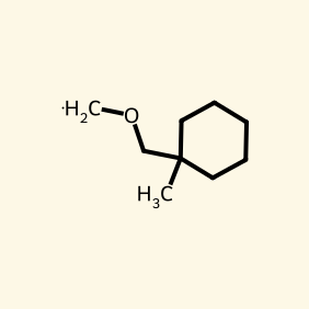 [CH2]OCC1(C)CCCCC1